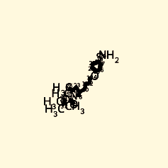 CC(C)(C)OC(=O)N1CC(CCCCOc2ccc(SN)cc2)CC1(C)C